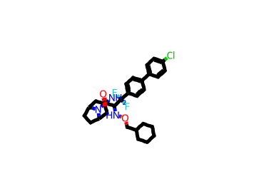 NC1CC2CCC(C1)N2C(=O)C(NOCC1CCCCC1)C(F)(F)c1ccc(-c2ccc(Cl)cc2)cc1